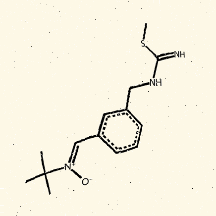 CSC(=N)NCc1cccc(/C=[N+](\[O-])C(C)(C)C)c1